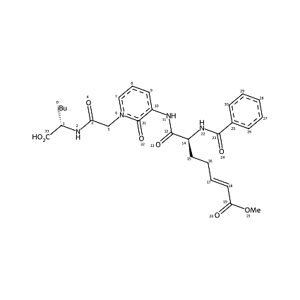 CCC(C)[C@H](NC(=O)Cn1cccc(NC(=O)[C@H](CC/C=C/C(=O)OC)NC(=O)c2ccccc2)c1=O)C(=O)O